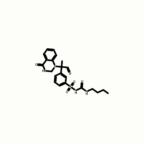 CCCCNC(=O)NS(=O)(=O)c1cccc(C(C)(C=O)N2CNC(=O)c3ccccc32)c1